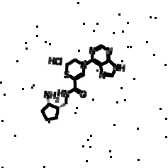 Cl.N[C@H]1CCC[C@H]1CNC(=O)C1=CN(c2ncnc3[nH]cnc23)CCS1